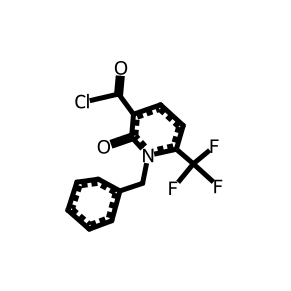 O=C(Cl)c1ccc(C(F)(F)F)n(Cc2ccccc2)c1=O